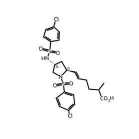 CC(CCC=C[C@@H]1C[C@@H](NS(=O)(=O)c2ccc(Cl)cc2)CN1S(=O)(=O)c1ccc(Cl)cc1)C(=O)O